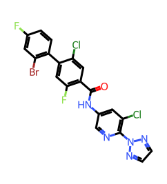 O=C(Nc1cnc(-n2nccn2)c(Cl)c1)c1cc(Cl)c(-c2ccc(F)cc2Br)cc1F